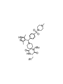 CCCCN1C(=O)[C@H](CC(C)C)NC(=O)C12CCN(C(c1ccc(S(=O)(=O)N3CCN(C)CC3)cc1)c1c(C)n[nH]c1C)CC2